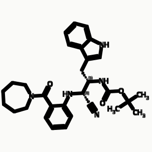 CC(C)(C)OC(=O)N[C@@H](Cc1c[nH]c2ccccc12)[C@H](C#N)Nc1ccccc1C(=O)N1CCCCCC1